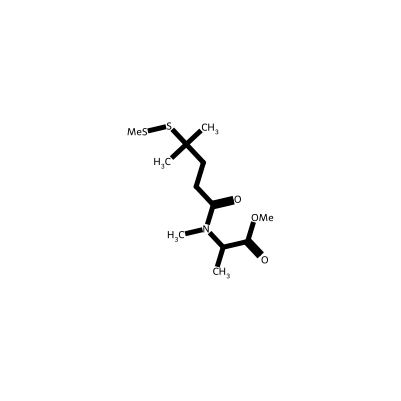 COC(=O)C(C)N(C)C(=O)CCC(C)(C)SSC